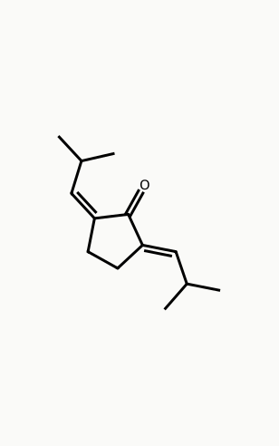 CC(C)C=C1CCC(=CC(C)C)C1=O